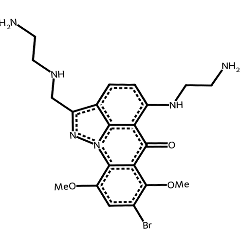 COc1c(Br)cc(OC)c2c1c(=O)c1c(NCCN)ccc3c(CNCCN)nn2c31